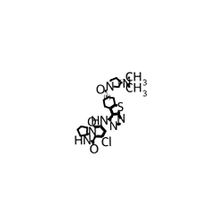 CN(C)[C@H]1CCN(C(=O)[C@H]2CCc3c(sc4ncnc(Nc5cc(Cl)c6n(c5=O)C5(CCCC5)NC6=O)c34)C2)C1